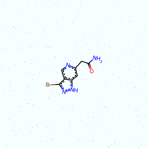 NC(=O)Cc1cc2[nH]nc(Br)c2cn1